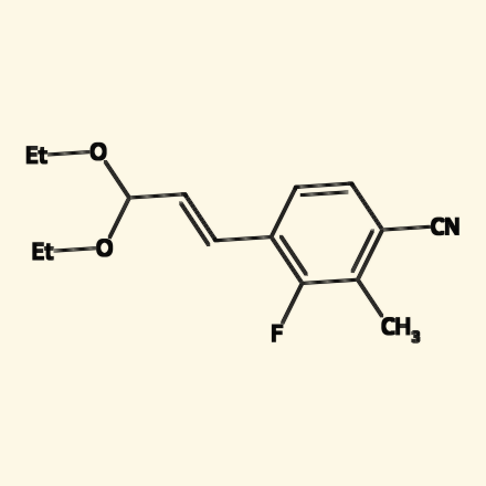 CCOC(/C=C/c1ccc(C#N)c(C)c1F)OCC